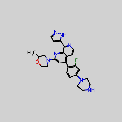 CC1CN(c2cc(-c3ccc(N4CCNCC4)cc3F)c3ccnc(-c4ccn[nH]4)c3n2)CCO1